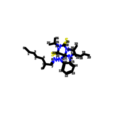 CCCCCC(C)/C=N/N1c2ccccc2N(CCCC)C12C(=S)N(C(C)C)C(=S)N2C(C)C